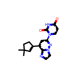 CC1(C)C=C(c2cc(-n3ccc(=O)[nH]c3=O)nn3ccnc23)CC1